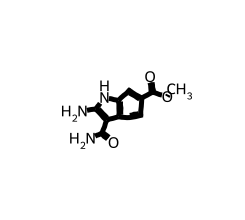 COC(=O)c1ccc2c(C(N)=O)c(N)[nH]c2c1